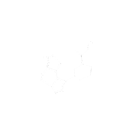 N#CCC(=O)N1CCCC(n2nnc3cnc4[nH]ccc4c32)C1